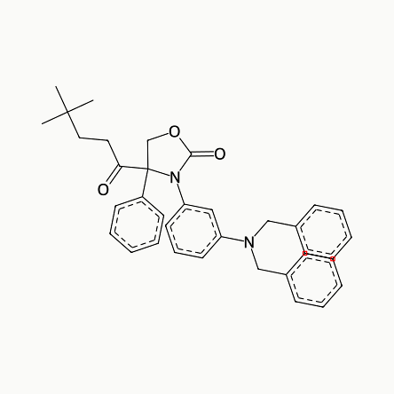 CC(C)(C)CCC(=O)C1(c2ccccc2)COC(=O)N1c1cccc(N(Cc2ccccc2)Cc2ccccc2)c1